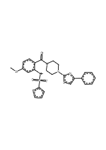 COc1ccc(C(=O)N2CCN(c3nc(-c4ccccc4)cs3)CC2)c(NS(=O)(=O)c2cccs2)c1